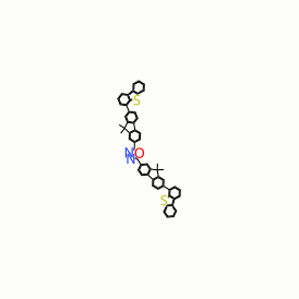 CC1(C)c2cc(-c3nnc(-c4ccc5c(c4)C(C)(C)c4cc(-c6cccc7c6sc6ccccc67)ccc4-5)o3)ccc2-c2ccc(-c3cccc4c3sc3ccccc34)cc21